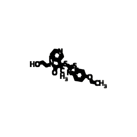 CCOc1ccc2nc(SC(C)(C(=O)NCCO)c3cccnc3)sc2c1